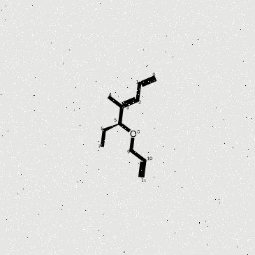 C=C/C=C(\C)[C@H](CC)OCC=C